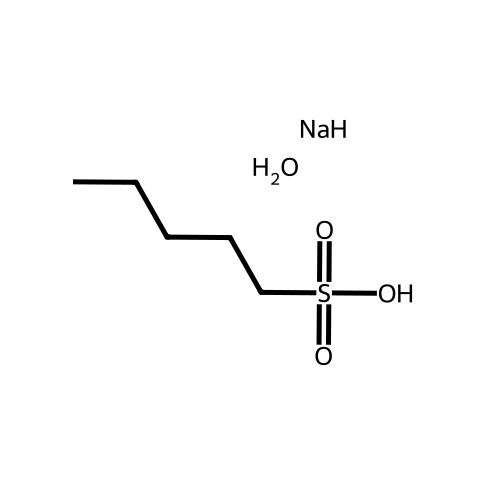 CCCCCS(=O)(=O)O.O.[NaH]